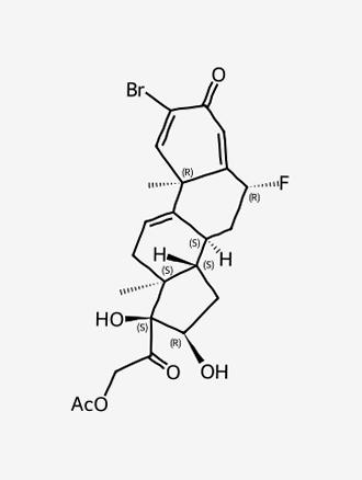 CC(=O)OCC(=O)[C@@]1(O)[C@H](O)C[C@H]2[C@@H]3C[C@@H](F)C4=CC(=O)C(Br)=C[C@]4(C)C3=CC[C@@]21C